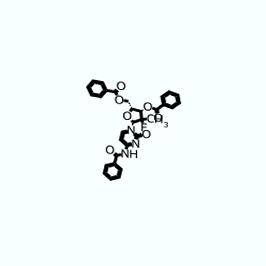 CC1(F)[C@@H](OC(=O)c2ccccc2)[C@@H](COC(=O)c2ccccc2)O[C@H]1n1ccc(NC(=O)c2ccccc2)nc1=O